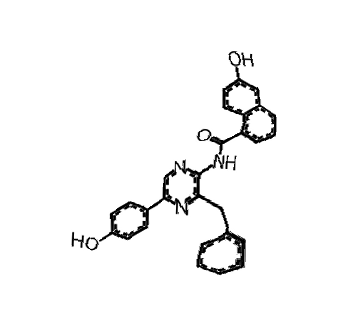 O=C(Nc1ncc(-c2ccc(O)cc2)nc1Cc1ccccc1)c1cccc2cc(O)ccc12